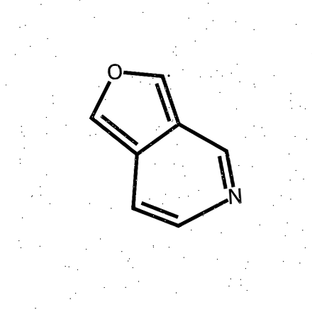 [c]1occ2ccncc12